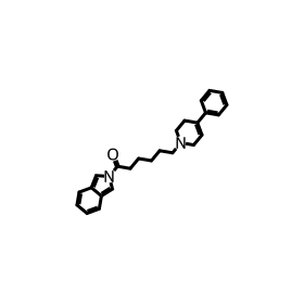 O=C(CCCCCN1CC=C(c2ccccc2)CC1)n1cc2ccccc2c1